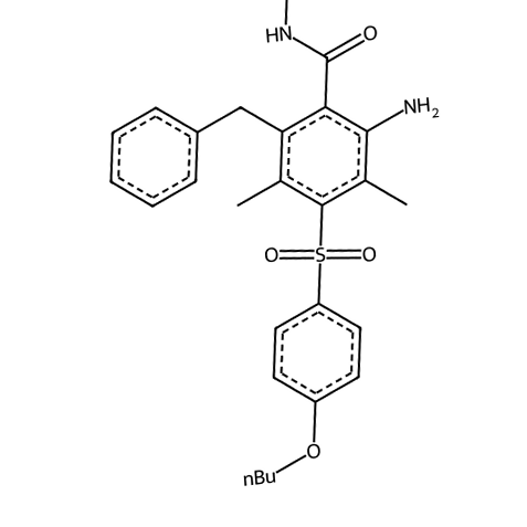 CCCCOc1ccc(S(=O)(=O)c2c(C)c(N)c(C(=O)NO)c(Cc3ccccc3)c2C)cc1